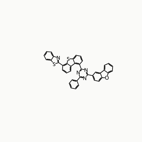 c1ccc(-c2nc(-c3ccc4oc5ccccc5c4c3)nc(-c3cccc4sc5c(-c6nc7ccccc7s6)cccc5c34)n2)cc1